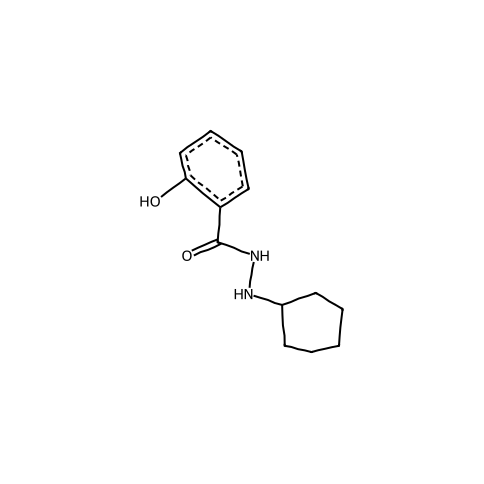 O=C(NNC1CCCCC1)c1ccccc1O